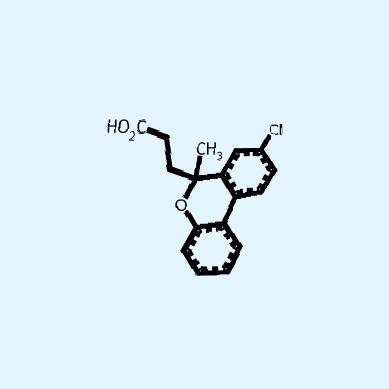 CC1(CCC(=O)O)Oc2ccccc2-c2ccc(Cl)cc21